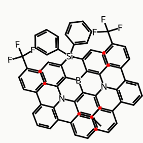 Cc1cc2c3c(c1)N(c1c(-c4ccccc4)cccc1-c1ccc(C(F)(F)F)cc1)c1cccc4c1B3c1c(cccc1[Si]4(c1ccccc1)c1ccccc1)N2c1c(-c2ccccc2)cccc1-c1ccc(C(F)(F)F)cc1